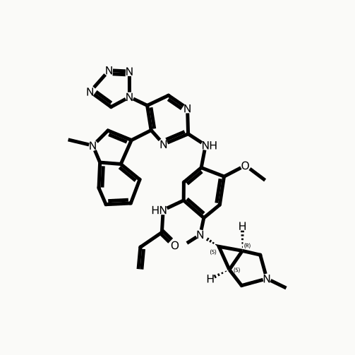 C=CC(=O)Nc1cc(Nc2ncc(-n3cnnn3)c(-c3cn(C)c4ccccc34)n2)c(OC)cc1N(C)[C@H]1[C@@H]2CN(C)C[C@@H]21